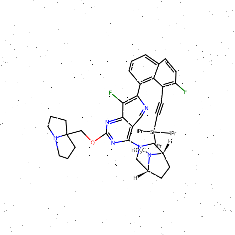 CC(C)[Si](C#Cc1c(F)ccc2cccc(-c3ncc4c(N5C[C@H]6CC[C@@H](C5)N6C(=O)O)nc(OCC56CCCN5CCC6)nc4c3F)c12)(C(C)C)C(C)C